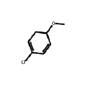 COC1C=CC(Cl)=CC1